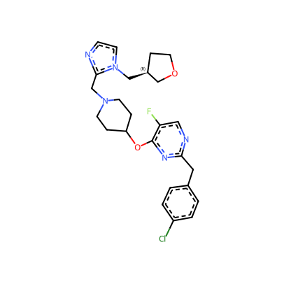 Fc1cnc(Cc2ccc(Cl)cc2)nc1OC1CCN(Cc2nccn2C[C@H]2CCOC2)CC1